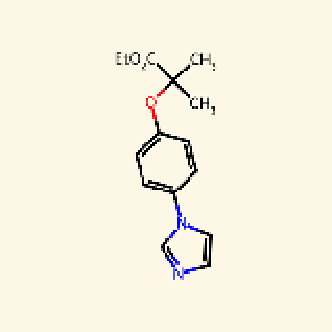 CCOC(=O)C(C)(C)Oc1ccc(-n2ccnc2)cc1